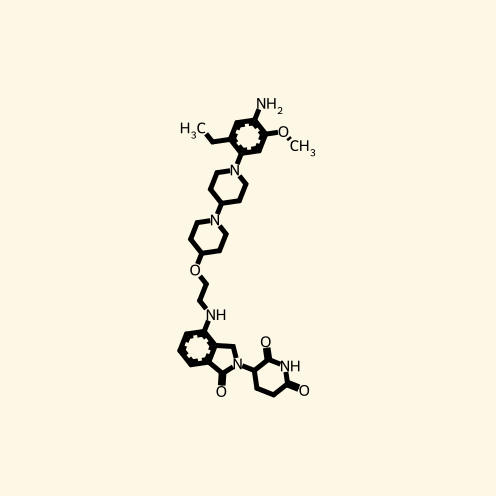 CCc1cc(N)c(OC)cc1N1CCC(N2CCC(OCCNc3cccc4c3CN(C3CCC(=O)NC3=O)C4=O)CC2)CC1